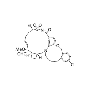 CC[C@@H]1CC/C=C/[C@](C=O)(OC)[C@@H]2CC[C@H]2CN2CCCCc3cc(Cl)ccc3COc3ccc(cc32)C(=O)NS1(=O)=O